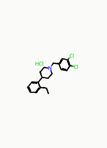 CCc1ccccc1C1CCN(Cc2ccc(Cl)c(Cl)c2)CC1.Cl